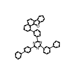 c1ccc(-c2ccc(-c3nc(-c4cccc(-c5ccccc5)c4)nc(-c4cccc(-c5cccc6ccc7c8ccccc8oc7c56)c4)n3)cc2)cc1